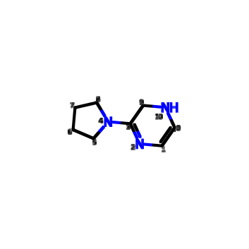 [C]1=CN=C(N2CCCC2)CN1